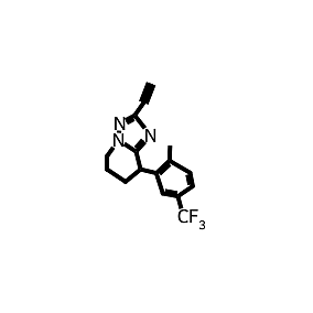 C#Cc1nc2n(n1)CCCC2c1cc(C(F)(F)F)ccc1C